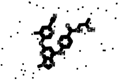 Cc1cc(C#N)ncc1Oc1cc(Nc2ccc(C(=O)NCC(C)O)cn2)c2ncn(C)c2n1